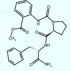 COC(=O)c1ccccc1NC(=O)N1CCC[C@H]1C(=O)N[C@@H](Cc1ccccc1)C(N)=O